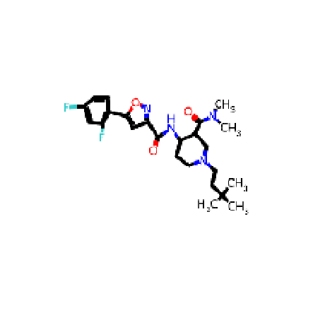 CN(C)C(=O)C1CN(CCC(C)(C)C)CCC1NC(=O)c1cc(-c2ccc(F)cc2F)on1